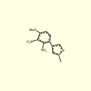 COc1ccc(-c2cnn(C)c2)c([N+](=O)[O-])c1[N+](=O)[O-]